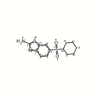 Nc1nc2ccc(S(=O)(=O)C3CCCCC3)cc2s1